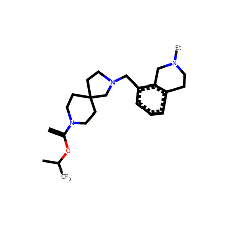 C=C(OC(C)C(F)(F)F)N1CCC2(CCN(Cc3cccc4c3CN(CC)CC4)C2)CC1